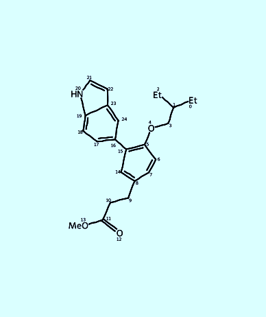 CCC(CC)COc1ccc(CCC(=O)OC)cc1-c1ccc2[nH]ccc2c1